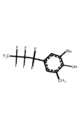 Cc1cc(C(F)(F)C(F)(F)C(F)(F)C(F)(F)F)cc(C(C)(C)C)c1O